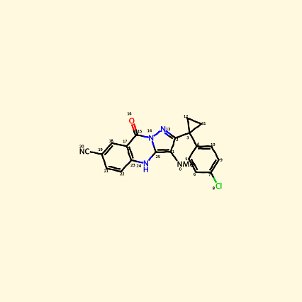 CNc1c(C2(c3ccc(Cl)cc3)CC2)nn2c(=O)c3cc(C#N)ccc3[nH]c12